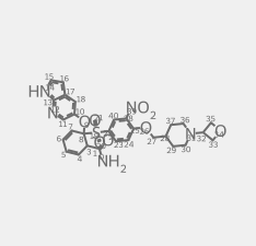 NC(=O)C1C=CC=CC1(Oc1cnc2[nH]ccc2c1)S(=O)(=O)c1ccc(OCC2CCN(C3COC3)CC2)c([N+](=O)[O-])c1